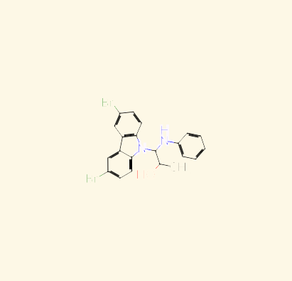 CC(O)C(Nc1ccccc1)n1c2ccc(Br)cc2c2cc(Br)ccc21